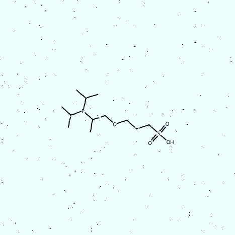 CC(C)P(C(C)C)C(C)COCCCS(=O)(=O)O